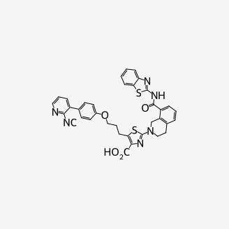 [C-]#[N+]c1ncccc1-c1ccc(OCCCc2sc(N3CCc4cccc(C(=O)Nc5nc6ccccc6s5)c4C3)nc2C(=O)O)cc1